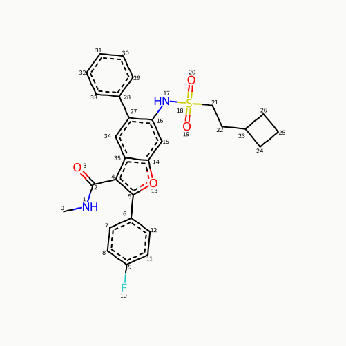 CNC(=O)c1c(-c2ccc(F)cc2)oc2cc(NS(=O)(=O)CCC3CCC3)c(-c3ccccc3)cc12